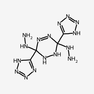 NNC1(c2nnn[nH]2)N=NC(NN)(c2nnn[nH]2)NN1